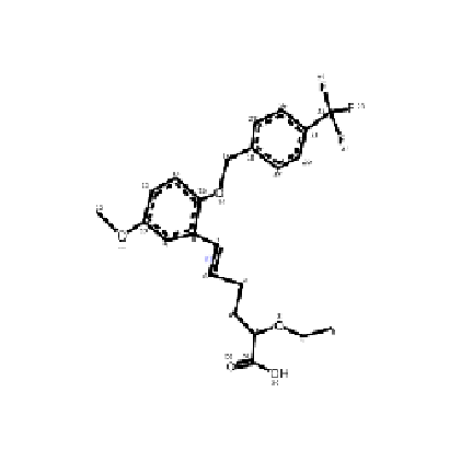 CCOC(CC/C=C/c1cc(OC)ccc1OCc1ccc(C(F)(F)F)cc1)C(=O)O